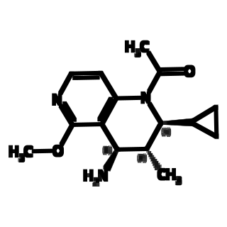 COc1nccc2c1[C@H](N)[C@@H](C)[C@H](C1CC1)N2C(C)=O